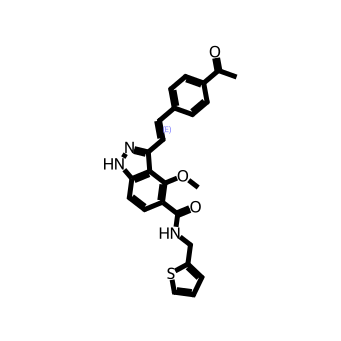 COc1c(C(=O)NCc2cccs2)ccc2[nH]nc(/C=C/c3ccc(C(C)=O)cc3)c12